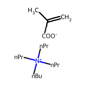 C=C(C)C(=O)[O-].CCCC[N+](CCC)(CCC)CCC